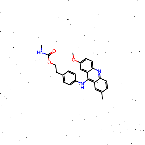 CNC(=O)OCCc1ccc(Nc2c3cc(C)ccc3nc3ccc(OC)cc23)cc1